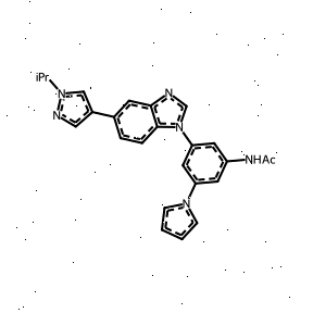 CC(=O)Nc1cc(-n2cccc2)cc(-n2cnc3cc(-c4cnn(C(C)C)c4)ccc32)c1